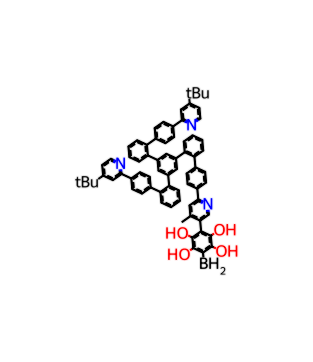 Bc1c(O)c(O)c(-c2cnc(-c3ccc(-c4ccccc4-c4cc(-c5ccccc5-c5ccc(-c6cc(C(C)(C)C)ccn6)cc5)cc(-c5ccccc5-c5ccc(-c6cc(C(C)(C)C)ccn6)cc5)c4)cc3)cc2C)c(O)c1O